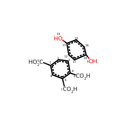 O=C(O)c1ccc(C(=O)O)c(C(=O)O)c1.Oc1ccc(O)cc1